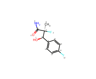 C[C@@](F)(C(N)=O)[C@H](O)c1ccc(F)cc1